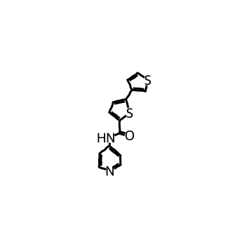 O=C(Nc1ccncc1)c1ccc(-c2ccsc2)s1